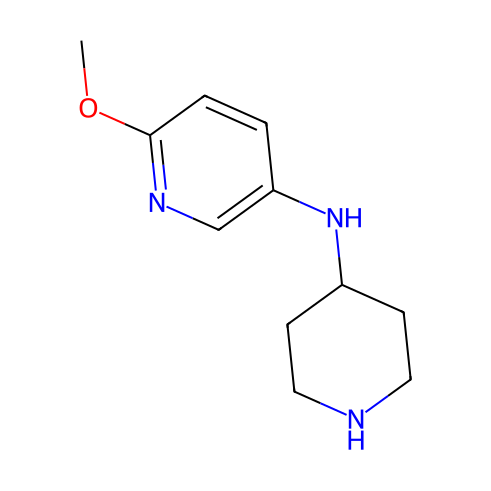 COc1ccc(NC2CCNCC2)cn1